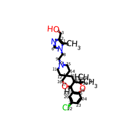 Cc1c(CO)ncn1CCN1CCC2(CC1)CO[C@H]1c3cc(Cl)ccc3OC(C)(C)[C@@H]1C2